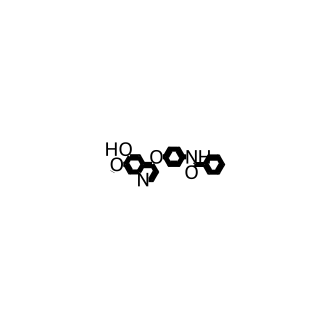 COc1cc2nccc(Oc3ccc(NC(=O)c4ccccc4)cc3)c2cc1O